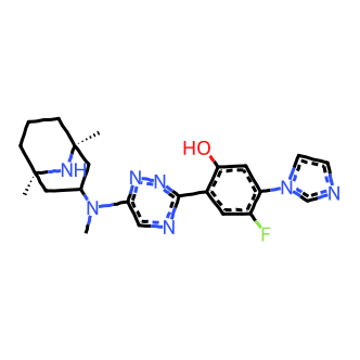 CN(c1cnc(-c2cc(F)c(-n3ccnc3)cc2O)nn1)C1C[C@]2(C)CCC[C@](C)(C1)N2